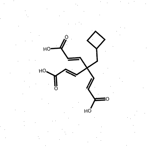 O=C(O)C=CC(C=CC(=O)O)(C=CC(=O)O)CC1CCC1